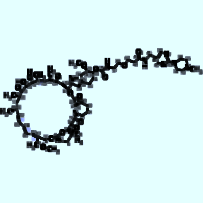 CO[C@H]1C[C@@H]2CC[C@@H](C)[C@@](O)(O2)C(=O)C(=O)N2CCCC[C@H]2C(=O)O[C@H]([C@H](N)C[C@@H]2CC[C@@H](OC(=O)NCCOCCC(=O)NCc3cnc(N4CCN(C)CC4)nc3)[C@H](OC)C2)CC(=O)[C@H](C)/C=C(\C)[C@@H](O)[C@@H](O)C(=O)[C@H](C)C[C@H](C)/C=C/C=C/C=C/1C